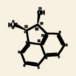 N[C@H]1c2cccc3cccc(c23)[C@H]1O